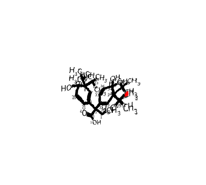 CCC(C(=O)O)(C1=CC(C(C)(C)C)(C(C)(C)C)C(O)(O)C=C1)C1=CC(C(C)(C)C)(C(C)(C)C)C(O)(O)C=C1